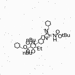 CCCCOc1nc(-c2ccc3c(c2)cc2n3C[C@@H](CNC(=O)OC(C)(C)C)[C@H]2N(C)Cc2ccccc2)c(CC)c(OCCCC)c1C(=O)OCc1ccccc1